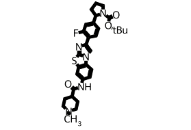 CN1CCC(C(=O)Nc2ccc3c(c2)sc2nc(-c4ccc(C5CCCN5C(=O)OC(C)(C)C)cc4F)cn23)CC1